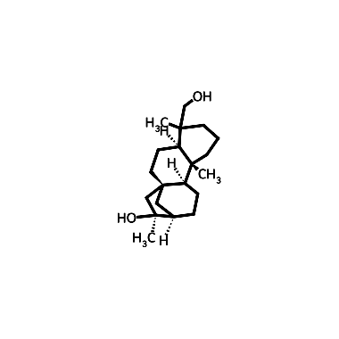 CC1(CO)CCC[C@@]2(C)[C@H]1CC[C@]13C[C@@H](CC[C@@H]12)[C@@](C)(O)C3